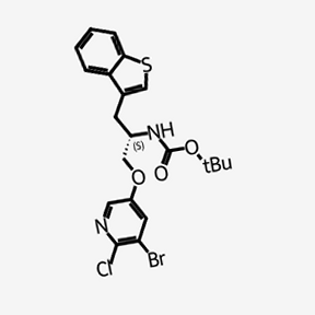 CC(C)(C)OC(=O)N[C@H](COc1cnc(Cl)c(Br)c1)Cc1csc2ccccc12